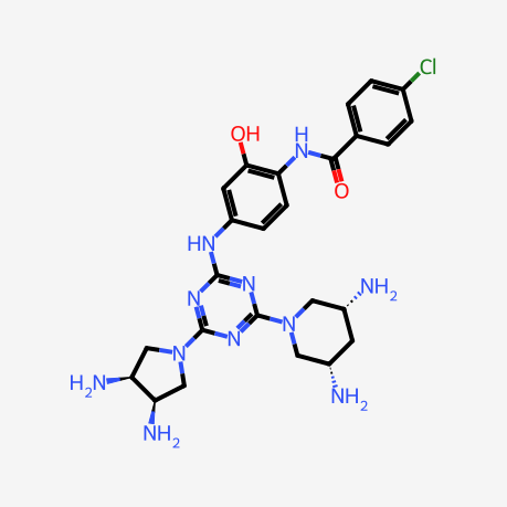 N[C@@H]1C[C@H](N)CN(c2nc(Nc3ccc(NC(=O)c4ccc(Cl)cc4)c(O)c3)nc(N3C[C@@H](N)[C@@H](N)C3)n2)C1